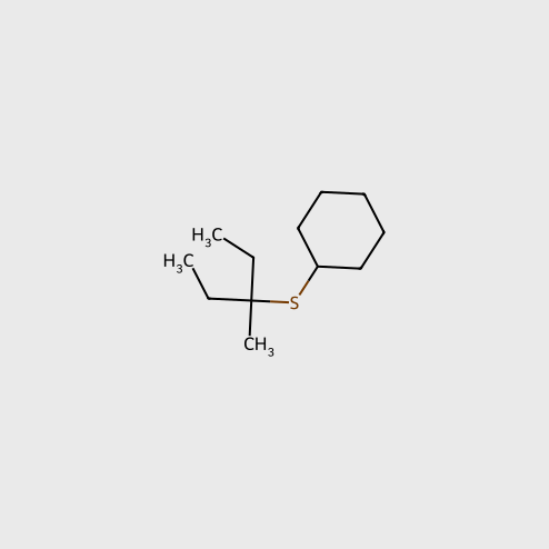 CCC(C)(CC)SC1CCCCC1